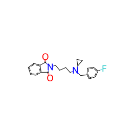 O=C1c2ccccc2C(=O)N1CCCCN(Cc1ccc(F)cc1)C1CC1